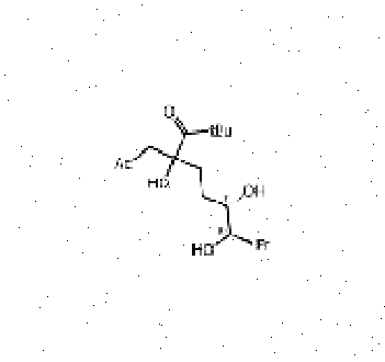 CC(=O)CC(O)(CC[C@H](O)[C@H](O)C(C)C)C(=O)C(C)(C)C